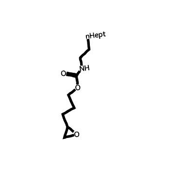 CCCCCCCCCNC(=O)OCCCC1CO1